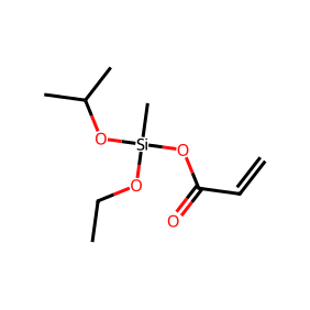 C=CC(=O)O[Si](C)(OCC)OC(C)C